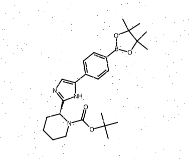 CC(C)(C)OC(=O)N1CCCC[C@H]1c1ncc(-c2ccc(B3OC(C)(C)C(C)(C)O3)cc2)[nH]1